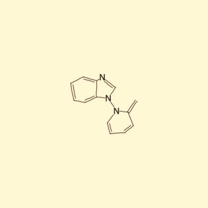 C=C1C=CC=CN1n1cnc2ccccc21